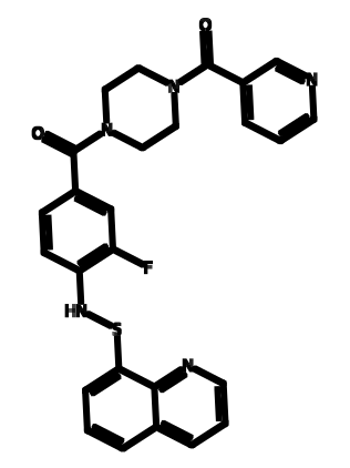 O=C(c1cccnc1)N1CCN(C(=O)c2ccc(NSc3cccc4cccnc34)c(F)c2)CC1